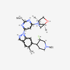 CCN1CCC(c2cc3c(cnn3-c3cc(N4C[C@H]5C[C@@H]4CO5)nc(OC)n3)cc2C)C(F)C1